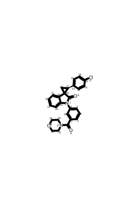 O=C(c1cccc(N2C(=O)C3(C[C@H]3c3ccc(Cl)cc3)c3ccccc32)c1)N1CCOCC1